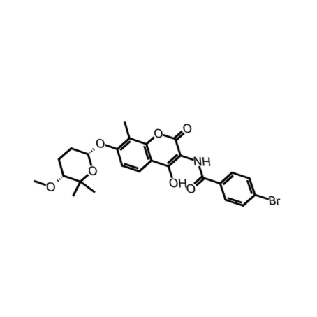 CO[C@@H]1CC[C@H](Oc2ccc3c(O)c(NC(=O)c4ccc(Br)cc4)c(=O)oc3c2C)OC1(C)C